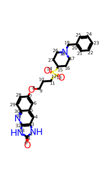 O=c1[nH]c2cc3cc(OCCCS(=O)(=O)C4CCN(Cc5ccccc5)CC4)ccc3nc2[nH]1